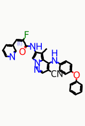 Cc1c(NC(=O)/C(F)=C\c2cccnc2)cn2ncc(C#N)c(Nc3ccc(Oc4ccccc4)cc3)c12